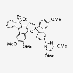 CCC1(CC)c2ccccc2-c2c1c1c(c3cc(OC)c(OC)cc23)OC(c2ccc(OC)cc2)(c2ccc(-c3nc(OC)cc(OC)n3)cc2)C=C1